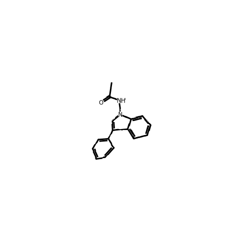 CC(=O)Nn1cc(-c2ccccc2)c2ccccc21